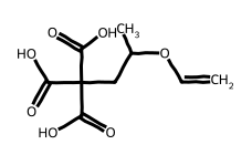 C=COC(C)CC(C(=O)O)(C(=O)O)C(=O)O